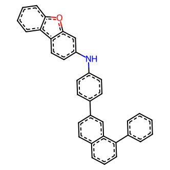 c1ccc(-c2cccc3ccc(-c4ccc(Nc5ccc6c(c5)oc5ccccc56)cc4)cc23)cc1